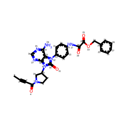 CC#CC(=O)N1CCC(n2c(=O)n(-c3ccc(NC(=O)C(=O)OCc4ccccc4)cc3)c3c(N)ncnc32)C1